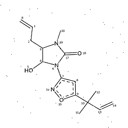 C=CCC1C(O)N(c2cc(C(C)(C)C=C)on2)C(=O)N1C